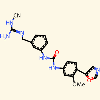 COc1cc(NC(=O)Nc2cccc(C/N=C(\N)NC#N)c2)ccc1-c1cnco1